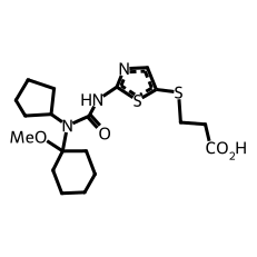 COC1(N(C(=O)Nc2ncc(SCCC(=O)O)s2)C2CCCC2)CCCCC1